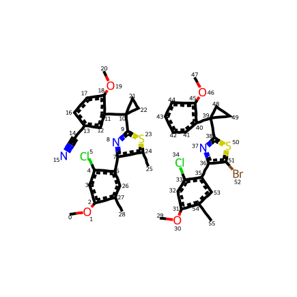 COc1cc(Cl)c(-c2nc(C3(c4cc(C#N)ccc4OC)CC3)sc2C)cc1C.COc1cc(Cl)c(-c2nc(C3(c4ccccc4OC)CC3)sc2Br)cc1C